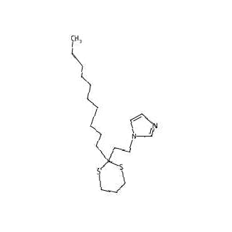 CCCCCCCCCCC1(CCn2ccnc2)SCCCS1